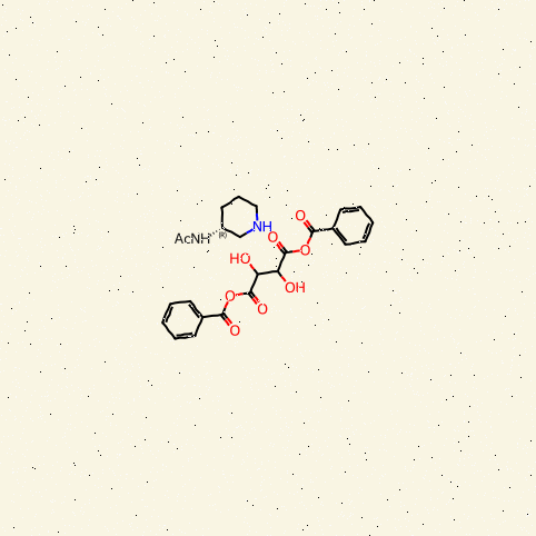 CC(=O)N[C@@H]1CCCNC1.O=C(OC(=O)C(O)C(O)C(=O)OC(=O)c1ccccc1)c1ccccc1